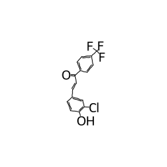 O=C(C=Cc1ccc(O)c(Cl)c1)c1ccc(C(F)(F)F)cc1